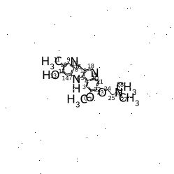 COc1cc2c(Nc3ccc(C)c(O)c3)c(C#N)cnc2cc1OCCN(C)C